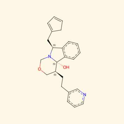 O[C@@]12c3ccccc3[C@H](CC3=CC=CC3)N1COC[C@@H]2CCc1cccnc1